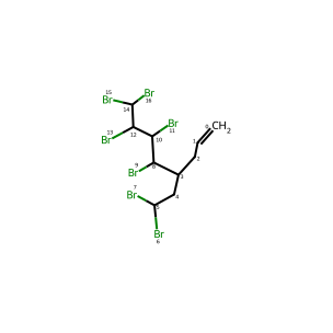 C=CCC(CC(Br)Br)C(Br)C(Br)C(Br)C(Br)Br